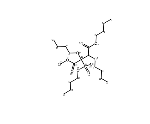 CCCCOC(=O)C(OCCCC)C(OCCCC)(C(=O)OCl)P(=O)(O)OCCCC